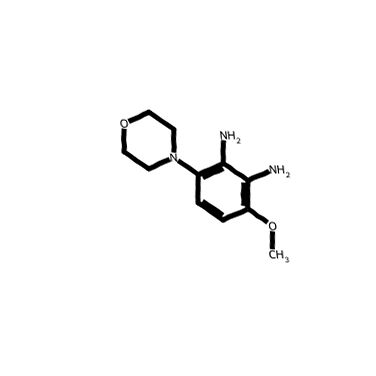 COc1ccc(N2CCOCC2)c(N)c1N